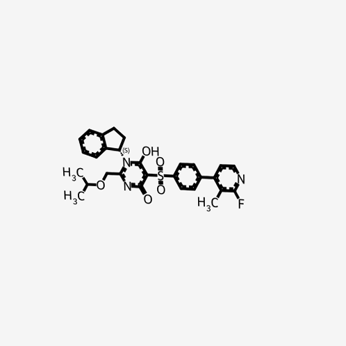 Cc1c(-c2ccc(S(=O)(=O)c3c(O)n([C@H]4CCc5ccccc54)c(COC(C)C)nc3=O)cc2)ccnc1F